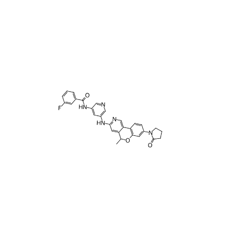 CC1Oc2cc(N3CCCC3=O)ccc2-c2cnc(Nc3cncc(NC(=O)c4cccc(F)c4)c3)cc21